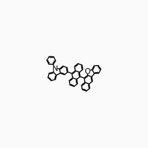 c1ccc(-n2c3ccccc3c3cc(-c4c5ccccc5c(-c5c6ccccc6cc6c5oc5ccccc56)c5ccccc45)ccc32)cc1